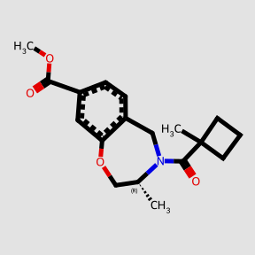 COC(=O)c1ccc2c(c1)OC[C@@H](C)N(C(=O)C1(C)CCC1)C2